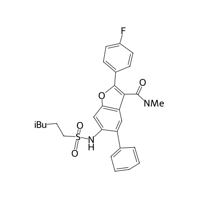 CCC(C)CCS(=O)(=O)Nc1cc2oc(-c3ccc(F)cc3)c(C(=O)NC)c2cc1-c1ccccc1